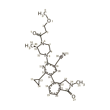 COCCC(=O)N1CCN(c2nc(C3CC3)c(-c3cccc4c3CN(C)C4=O)cc2C#N)C[C@H]1C